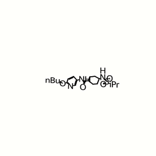 CCCCOc1ccc(NC(=O)C2CCC(NS(=O)(=O)C(C)C)CC2)cn1